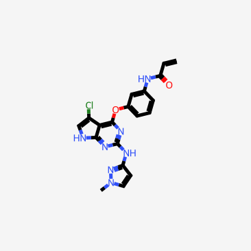 C=CC(=O)Nc1cccc(Oc2nc(Nc3ccn(C)n3)nc3[nH]cc(Cl)c23)c1